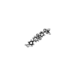 COc1ccc(N2CCN(S(=O)(=O)C3CCN(C(=O)OC(C)(C)C)CC3)CC2)cc1